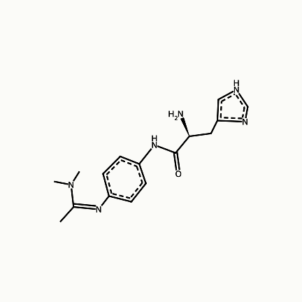 CC(=Nc1ccc(NC(=O)[C@@H](N)Cc2c[nH]cn2)cc1)N(C)C